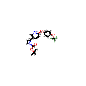 CC(C)(C)OC(=O)N1CCC1c1ccc(Oc2ccc(OC(F)(F)F)cc2)nc1